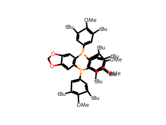 COc1c(C(C)(C)C)cc(P(c2cc(C(C)(C)C)c(OC)c(C(C)(C)C)c2)c2cc3c(cc2P(c2cc(C(C)(C)C)c(OC)c(C(C)(C)C)c2)c2cc(C(C)(C)C)c(OC)c(C(C)(C)C)c2)OCO3)cc1C(C)(C)C